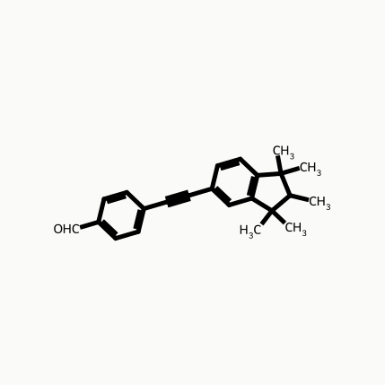 CC1C(C)(C)c2ccc(C#Cc3ccc(C=O)cc3)cc2C1(C)C